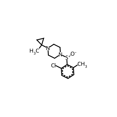 Cc1cccc(Cl)c1[S+]([O-])N1CCN(C2(C)CC2)CC1